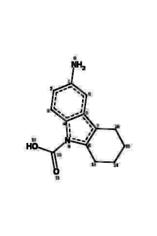 Nc1ccc2c(c1)c1c(n2C(=O)O)CCCC1